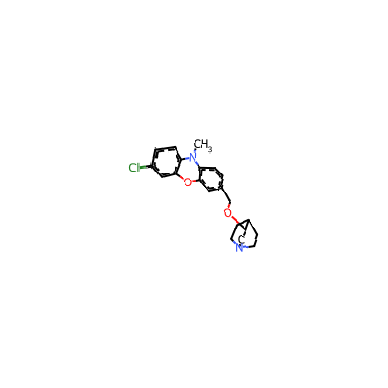 CN1c2ccc(Cl)cc2Oc2cc(COC3CN4CCC3CC4)ccc21